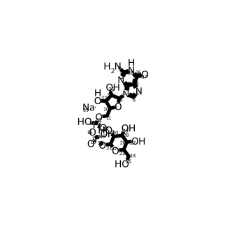 Nc1nc2c(ncn2C2OC(COP(=O)(O)OP(=O)(O)OC3OC(CO)C(O)C(O)C3O)C(O)C2O)c(=O)[nH]1.[Na]